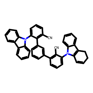 N#Cc1cccc(-n2c3ccccc3c3ccccc32)c1-c1cccc(-c2cccc(-n3c4c(c5ccccc53)CCC=C4)c2C#N)c1